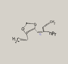 C=CC1=C(/C=C(\C=C)CCC)OCO1